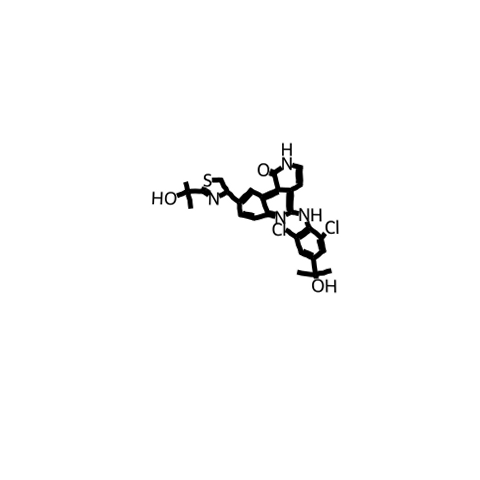 CC(C)(O)C1=NC(c2ccc3nc(Nc4c(Cl)cc(C(C)(C)O)cc4Cl)c4cc[nH]c(=O)c4c3c2)CS1